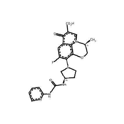 C[C@H]1COc2c(N3CC[C@@H](NC(=O)Nc4ccccn4)C3)c(F)cc3c(=O)c(C(=O)O)cn1c23